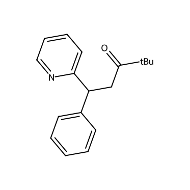 CC(C)(C)C(=O)CC(c1ccccc1)c1ccccn1